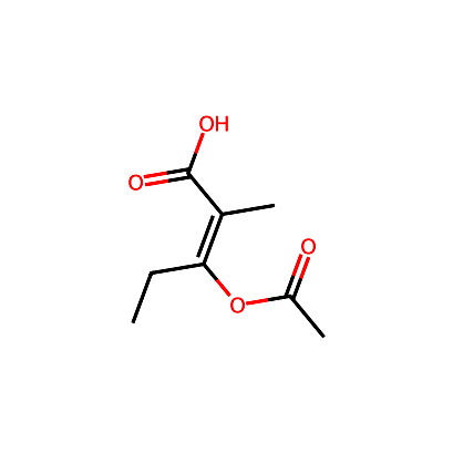 CCC(OC(C)=O)=C(C)C(=O)O